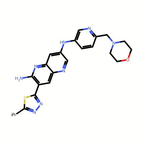 CC(C)c1nnc(-c2cc3ncc(Nc4ccc(CN5CCOCC5)nc4)cc3nc2N)s1